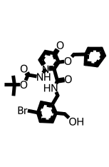 CC(C)(C)OC(=O)Nn1ccc(=O)c(OCc2ccccc2)c1C(=O)NCc1cc(Br)ccc1CO